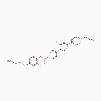 CCCCc1ccc(OC(=O)c2ccc(-c3ccc(-c4ccc(CC)cc4)c(F)c3F)cc2)c(F)c1